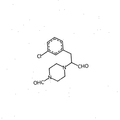 O=CC(Cc1cccc(Cl)c1)N1CCN(C=O)CC1